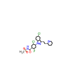 CS(=O)(=O)NC(=O)c1cc(Cl)c(-n2nc(C=Cc3ccccn3)c3cc(Cl)ccc32)cc1F